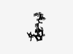 Cc1nc(C)c(-c2cnc3ccc(NCCN(C)C(=O)O)nn23)s1